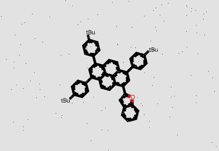 CC(C)(C)c1ccc(-c2cc(-c3ccc(C(C)(C)C)cc3)c3ccc4c(-c5cc6ccccc6o5)cc(-c5ccc(C(C)(C)C)cc5)c5ccc2c3c54)cc1